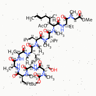 C/C=C/C[C@@H](C)[C@@H](OC(C)=O)[C@@H](C(=O)N[C@@H](CC)C(=O)N(C)CC(=O)OC)N(C)C(=O)[C@H](C(C)C)N(C)C(=O)[C@H](CC(C)C)N(C)C(=O)[C@H](CC(C)C)N(C)C(=O)[C@H](C)NC(=O)[C@H](C)NC(=O)[C@H](CC(C)C)N(C)C(=O)[C@@H](NC(=O)[C@H](CO)N(C)C(=O)OC(C)(C)C)C(C)C